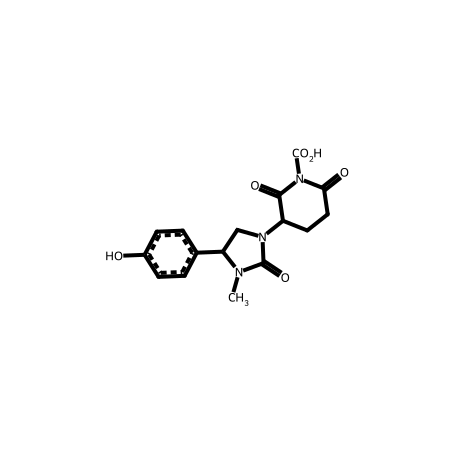 CN1C(=O)N(C2CCC(=O)N(C(=O)O)C2=O)CC1c1ccc(O)cc1